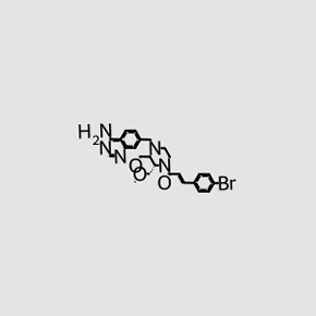 COC[C@@H]1C(C=O)N(Cc2ccc3c(N)ncnc3c2)CCN1C(=O)C=Cc1ccc(Br)cc1